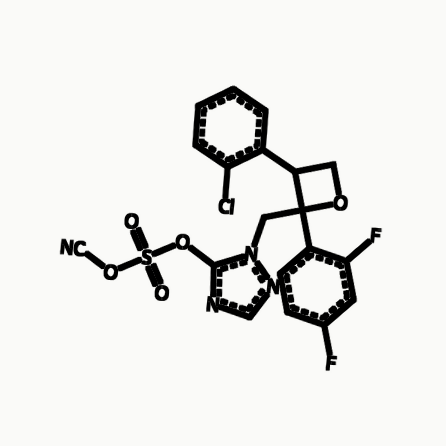 N#COS(=O)(=O)Oc1ncnn1CC1(c2ccc(F)cc2F)OCC1c1ccccc1Cl